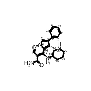 NC(=O)c1cnn2cc(-c3ccccc3)cc2c1NC1CCCNC1